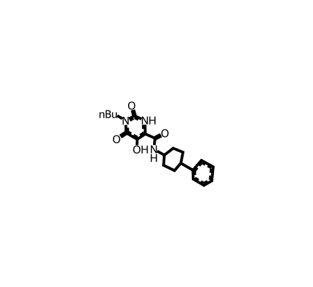 CCCCn1c(=O)[nH]c(C(=O)NC2CCC(c3ccccc3)CC2)c(O)c1=O